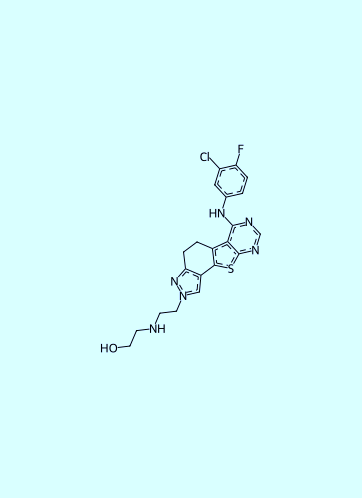 OCCNCCn1cc2c(n1)CCc1c-2sc2ncnc(Nc3ccc(F)c(Cl)c3)c12